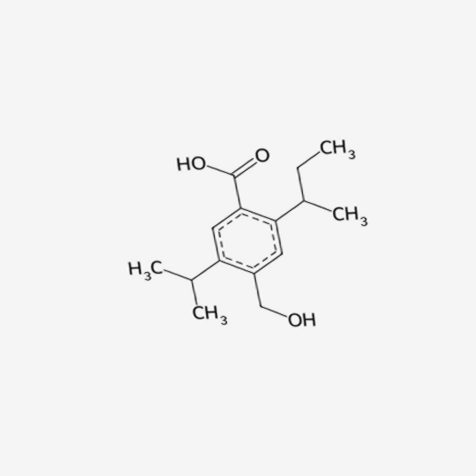 CCC(C)c1cc(CO)c(C(C)C)cc1C(=O)O